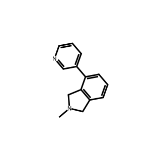 CN1Cc2cccc(-c3cccnc3)c2C1